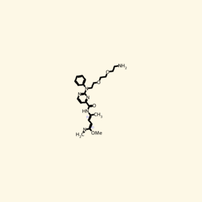 C=N/C(=C\C=C(/C)NC(=O)c1ccnc(N(CCOCCOCCN)c2ccccc2)n1)OC